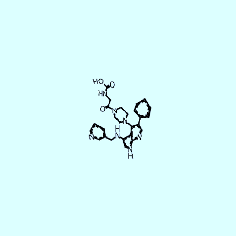 O=C(O)NCC(=O)N1CCN(c2c(-c3ccccc3)cnc3[nH]cc(NCc4cccnc4)c23)CC1